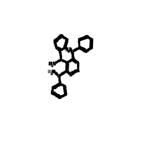 NN(c1ccccc1)c1nnnc(N(N)c2ccccc2)c1N(N)c1ccccc1